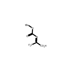 CC(C)(C)OC(=O)N=C(C(=O)O)C(F)(F)F